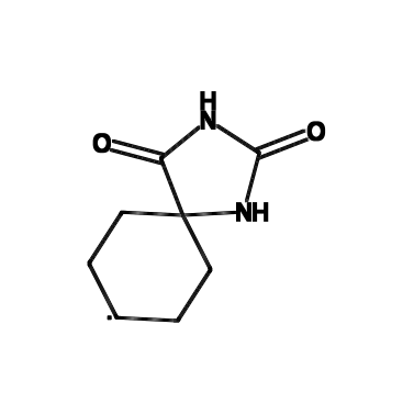 O=C1NC(=O)C2(CC[CH]CC2)N1